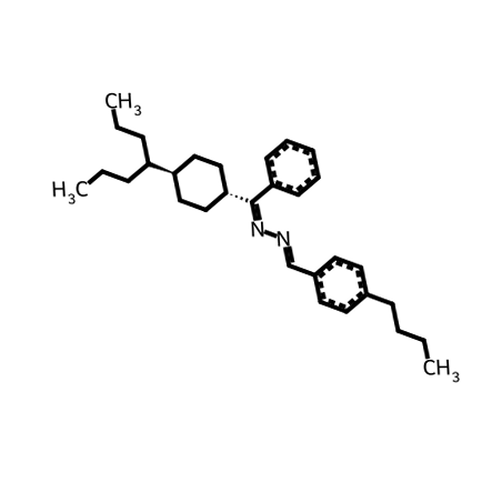 CCCCc1ccc(C=NN=C(c2ccccc2)[C@H]2CC[C@H](C(CCC)CCC)CC2)cc1